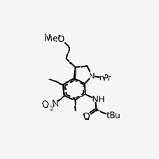 CCCN1CC(CCOC)c2c(C)c([N+](=O)[O-])c(C)c(NC(=O)C(C)(C)C)c21